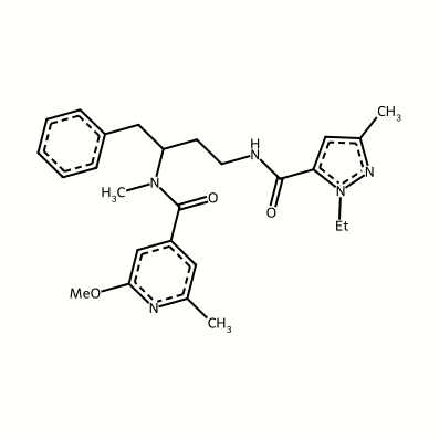 CCn1nc(C)cc1C(=O)NCCC(Cc1ccccc1)N(C)C(=O)c1cc(C)nc(OC)c1